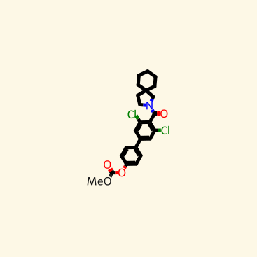 COC(=O)Oc1ccc(-c2cc(Cl)c(C(=O)N3CCC4(CCCCC4)C3)c(Cl)c2)cc1